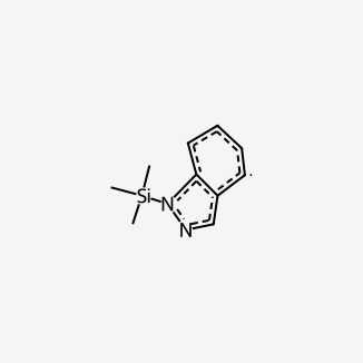 C[Si](C)(C)n1ncc2[c]cccc21